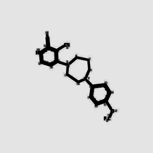 N#Cc1c(N2CCCN(c3ccc(OC(F)(F)F)cc3)CC2)cc[nH]c1=S